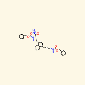 NC(=O)[C@H](CCc1ccc(CCCCNC(=O)OCc2ccccc2)c2c1CCCC2)NC(=O)OCc1ccccc1